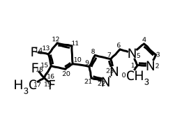 Cc1nccn1Cc1cc(-c2ccc(F)c(C(C)(F)F)c2)cnn1